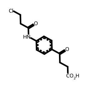 O=C(O)CCC(=O)c1ccc(NC(=O)CCCl)cc1